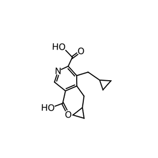 O=C(O)c1cnc(C(=O)O)c(CC2CC2)c1CC1CC1